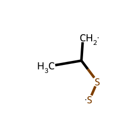 [CH2]C(C)S[S]